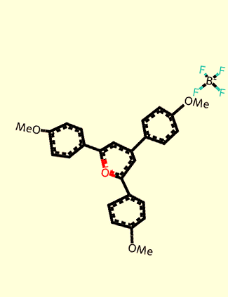 COc1ccc(-c2cc(-c3ccc(OC)cc3)[o+]c(-c3ccc(OC)cc3)c2)cc1.F[B-](F)(F)F